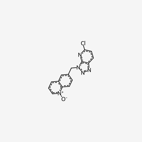 [O-][n+]1cccc2cc(Cn3nnc4ccc(Cl)nc43)ccc21